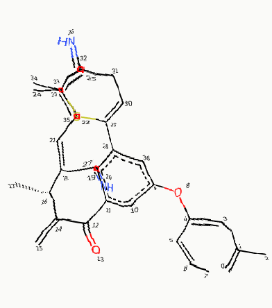 C=C(C)/C=C(\C=C/C)Oc1cc(C(=O)C(=C)[C@H](C)/C(C=N)=C/C=C(\C)C=N)cc(C2=CCC=C(C)S2)c1